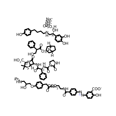 CC(C)NCC(O)COc1ccc(CC(N)=O)cc1.CC1(C)S[C@@H]2[C@H](NC(=O)[C@@H](NC(=O)N3CCNC3=O)c3ccccc3)C(=O)N2[C@H]1C(=O)O.CN1[C@@H]2CC[C@H]1C[C@@H](OC(=O)C(CO)c1ccccc1)C2.O=C([O-])CCNC(=O)c1ccc(/N=N/c2ccc(O)c(C(=O)[O-])c2)cc1.O=S(=O)([O-])O.Oc1ccc(CCCCNC[C@H](O)c2ccc(O)c(O)c2)cc1.[Na+].[Na+].[Na+]